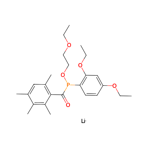 CCOCCOP(C(=O)c1c(C)cc(C)c(C)c1C)c1ccc(OCC)cc1OCC.[Li]